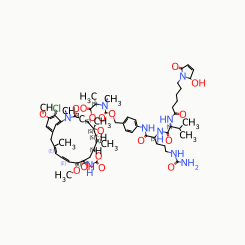 COc1cc2cc(c1Cl)N(C)C(=O)C[C@H](OC(=O)[C@H](C)N(C)C(=O)OCc1ccc(NC(=O)[C@H](CCCNC(N)=O)NC(=O)[C@@H](NC(=O)CCCCCN3C(=O)C=CC3O)C(C)C)cc1)[C@]1(C)O[C@H]1[C@H](C)[C@@H]1C[C@@](O)(NC(=O)O1)[C@H](OC)/C=C/C=C(\C)C2